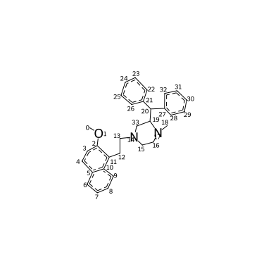 COc1ccc2ccccc2c1CCN1CCN(C)C(C(c2ccccc2)c2ccccc2)C1